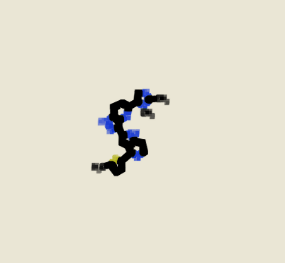 Cc1ccc(-c2nccc3[nH]c(-c4n[nH]c5ccc(-c6cnc(C)n6C)nc45)cc23)s1